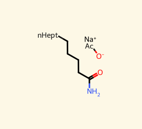 CC(=O)[O-].CCCCCCCCCCCC(N)=O.[Na+]